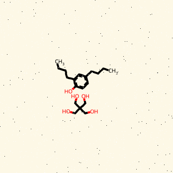 CCCCc1ccc(O)c(CCCC)c1.OCC(CO)(CO)CO